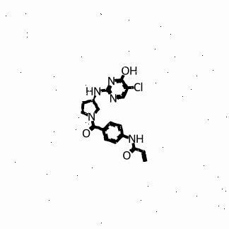 C=CC(=O)Nc1ccc(C(=O)N2CC[C@@H](Nc3ncc(Cl)c(O)n3)C2)cc1